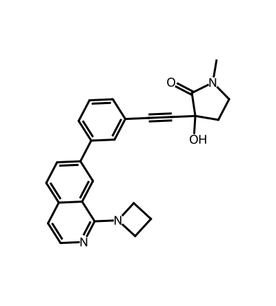 CN1CCC(O)(C#Cc2cccc(-c3ccc4ccnc(N5CCC5)c4c3)c2)C1=O